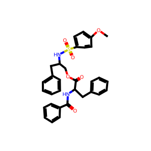 COc1ccc(S(=O)(=O)NC(COC(=O)C(Cc2ccccc2)NC(=O)c2ccccc2)Cc2ccccc2)cc1